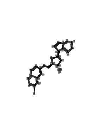 Cc1ccc2ccc(CC[C@H]3C[C@@H](n4ccc5cncnc54)C[C@@H]3O)cc2n1